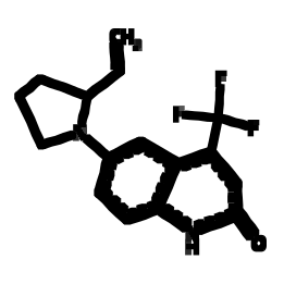 C=CC1CCCN1c1ccc2[nH]c(=O)cc(C(F)(F)F)c2c1